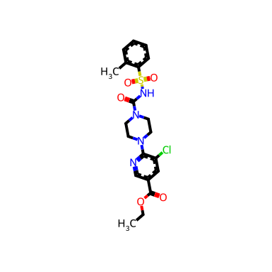 CCOC(=O)c1cnc(N2CCN(C(=O)NS(=O)(=O)c3ccccc3C)CC2)c(Cl)c1